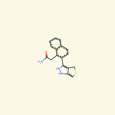 NC(=O)Cc1c(C2=C3CSC=C3NN2)ccc2ccccc12